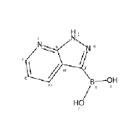 OB(O)c1n[nH]c2ncccc12